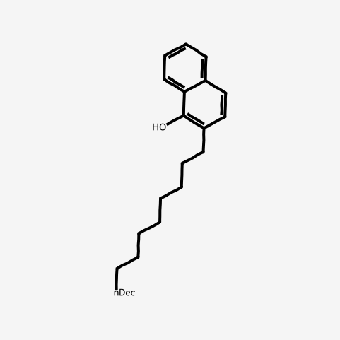 CCCCCCCCCCCCCCCCCCc1ccc2ccccc2c1O